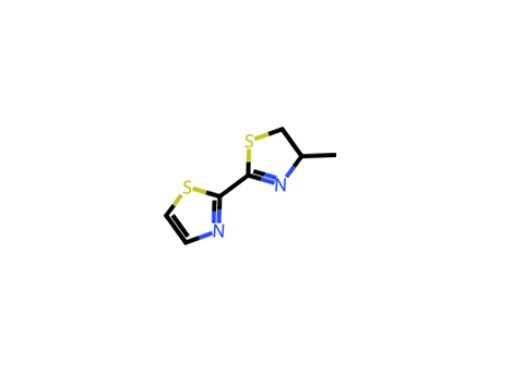 CC1CSC(c2nccs2)=N1